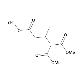 CCCOC(=O)CC(C)C(C(=O)OC)C(=O)OC